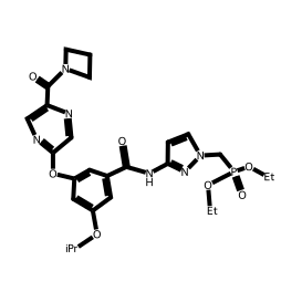 CCOP(=O)(Cn1ccc(NC(=O)c2cc(Oc3cnc(C(=O)N4CCC4)cn3)cc(OC(C)C)c2)n1)OCC